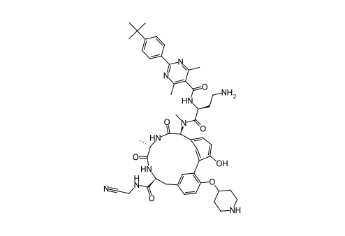 Cc1nc(-c2ccc(C(C)(C)C)cc2)nc(C)c1C(=O)N[C@@H](CCN)C(=O)N(C)[C@@H]1C(=O)N[C@@H](C)C(=O)N[C@H](C(=O)NCC#N)Cc2ccc(OC3CCNCC3)c(c2)-c2cc1ccc2O